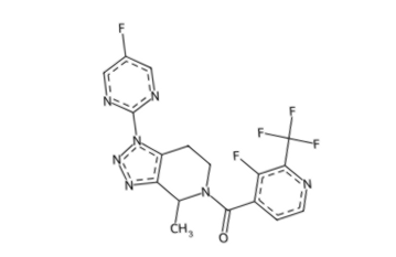 CC1c2nnn(-c3ncc(F)cn3)c2CCN1C(=O)c1ccnc(C(F)(F)F)c1F